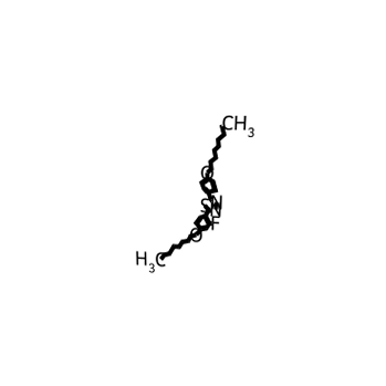 CCCCCCCCCOc1ccc(-c2nnc(-c3ccc(OCCCCCCCC)cc3F)s2)cc1